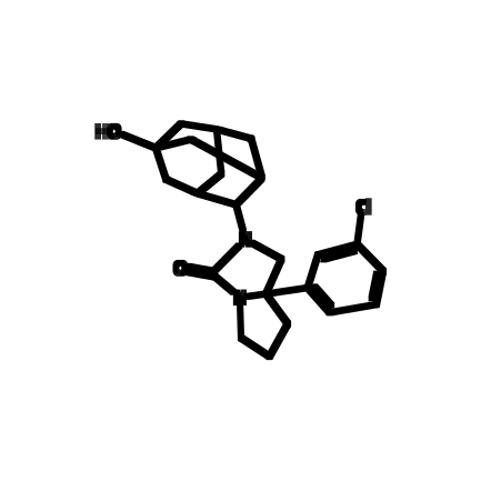 O=C1N(C2C3CC4CC2CC(O)(C4)C3)CC2(c3cccc(Cl)c3)CCCN12